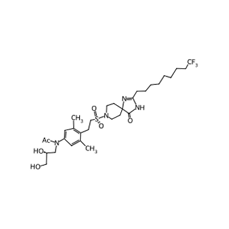 CC(=O)N(C[C@H](O)CO)c1cc(C)c(CCS(=O)(=O)N2CCC3(CC2)N=C(CCCCCCCCC(F)(F)F)NC3=O)c(C)c1